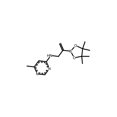 C=C(CNc1cc(C)ncn1)B1OC(C)(C)C(C)(C)O1